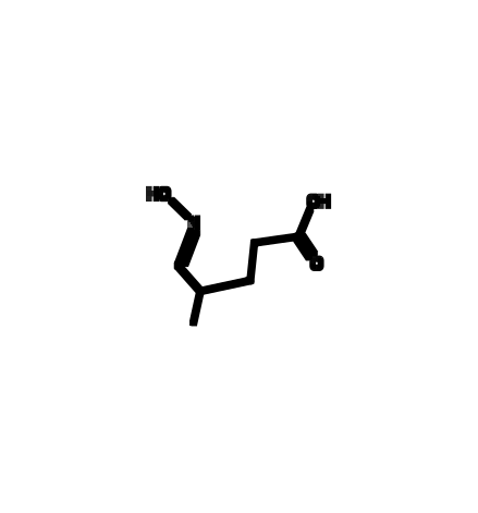 CC(C=NO)CCC(=O)O